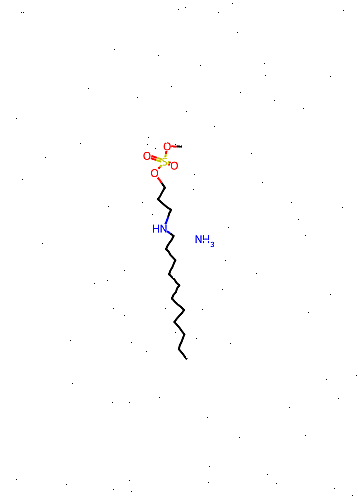 CCCCCCCCCCCNCCCOS(=O)(=O)OC.N